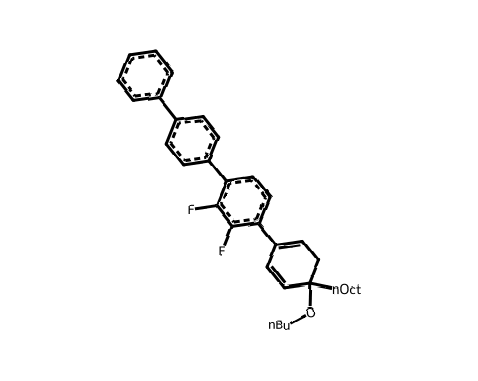 CCCCCCCCC1(OCCCC)C=CC(c2ccc(-c3ccc(-c4ccccc4)cc3)c(F)c2F)=CC1